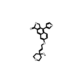 COC1(C=CCOc2ccc3c(-c4ccsc4)c4c(cc3c2)C(=O)OC4)CCOCC1